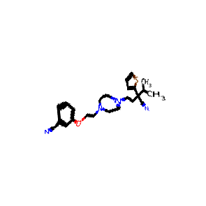 CC(C)C(C#N)(CCN1CCN(CCOc2cccc(C#N)c2)CC1)c1cccs1